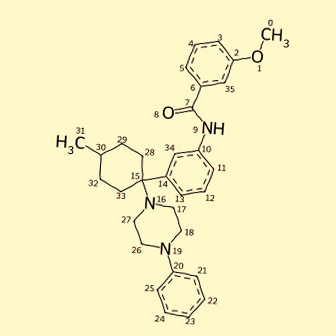 COc1cccc(C(=O)Nc2cccc(C3(N4CCN(c5ccccc5)CC4)CCC(C)CC3)c2)c1